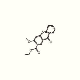 CCOC(=O)c1cc2c(=O)c3ccccc3sc2cc1OC